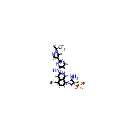 CC(C)c1ccc(N2C[C@H](CS(C)(=O)=O)[C@H]2N)c2cnc(Nc3ccnc(-c4cnn([C@@H](C)C(F)(F)F)c4)n3)cc12